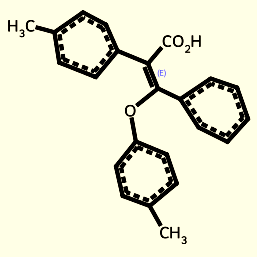 Cc1ccc(O/C(=C(/C(=O)O)c2ccc(C)cc2)c2ccccc2)cc1